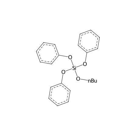 CCCCO[Si](Oc1ccccc1)(Oc1ccccc1)Oc1ccccc1